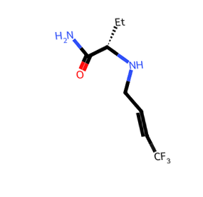 CC[C@H](NC/C=C/C(F)(F)F)C(N)=O